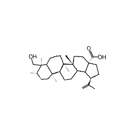 C=C(C)[C@@H]1CC[C@]2(C(=O)O)CC[C@]3(C)C(CCC4[C@@]5(C)CC[C@H](C)[C@@](C)(CO)C5CC[C@]43C)C12